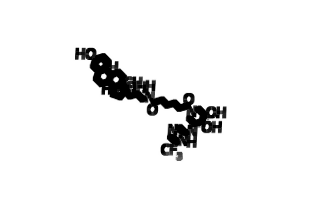 C[C@]12CC[C@@H]3c4ccc(O)cc4CC[C@H]3[C@@H]1CC[C@@]2(O)CCCNC(=O)CCCCC(=O)N1C[C@H](Nc2cncc(C(F)(F)F)n2)[C@@H](O)[C@@H](O)C1